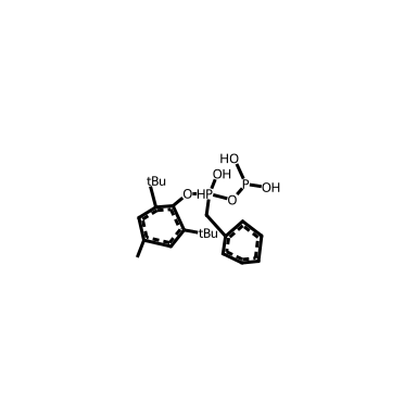 Cc1cc(C(C)(C)C)c(O[PH](O)(Cc2ccccc2)OP(O)O)c(C(C)(C)C)c1